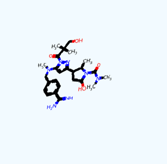 CC1C(c2cc(N(C)Cc3ccc(C(=N)N)cc3)n(C(=O)C(C)(C)CO)n2)CC(O)N1C(=O)N(C)C